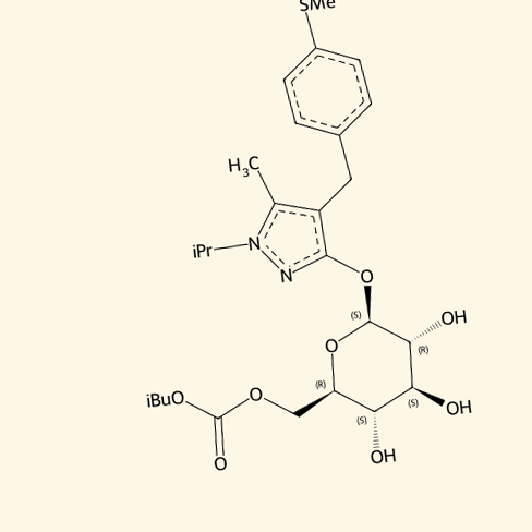 CSc1ccc(Cc2c(O[C@@H]3O[C@H](COC(=O)OCC(C)C)[C@@H](O)[C@H](O)[C@H]3O)nn(C(C)C)c2C)cc1